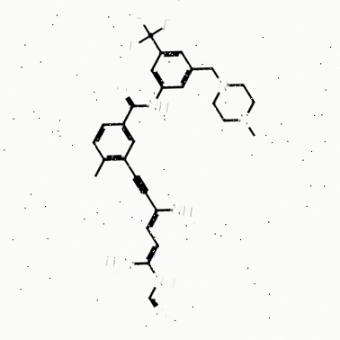 Cc1ccc(C(=O)Nc2cc(CN3CCN(C)CC3)cc(C(F)(F)F)c2)cc1C#C/C(N)=C/C=C(\N)NC=O